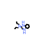 C=CCN(CC=C)C1CNc2ccccc2N1